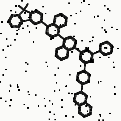 CC1(C)c2ccccc2-c2cc(-c3ccc(-c4ccc(-c5cc(-c6ccc(-c7ccc8ccccc8c7)cc6)nc(-c6ccccc6)n5)c5ccccc45)c4ccccc34)ccc21